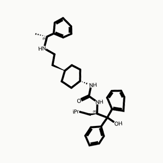 CC(C)C[C@@H](NC(=O)N[C@H]1CC[C@H](CCN[C@H](C)c2ccccc2)CC1)C(O)(c1ccccc1)c1ccccc1